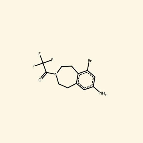 Nc1cc(Br)c2c(c1)CCN(C(=O)C(F)(F)F)CC2